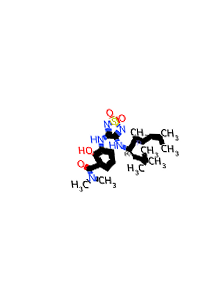 CC(C)=C/C=C(\C)[C@@H](CC(C)(C)C)NC1=NS(=O)(=O)N=C1Nc1cccc(C(=O)N(C)C)c1O